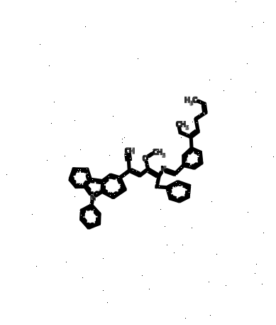 C#C\C(=C/C(OC)=C(Cc1ccccc1)/N=C/c1cccc(/C(=C/C/C=C\C)CC)c1)c1ccc2c(c1)c1ccccc1n2-c1ccccc1